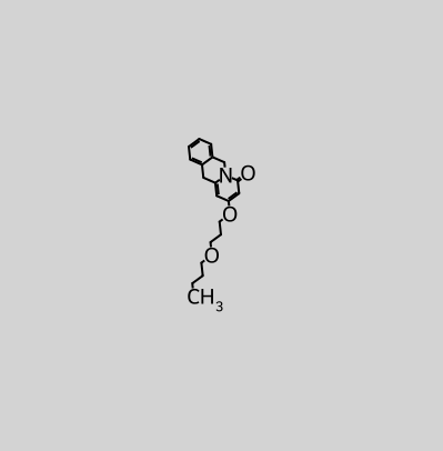 CCCCOCCCOc1cc2n(c(=O)c1)Cc1ccccc1C2